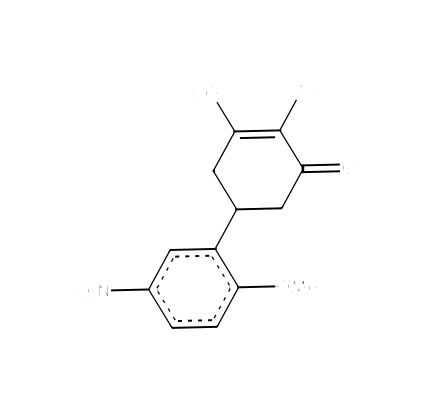 COc1ccc([N+](=O)[O-])cc1C1CC(=O)C(C(C)=O)=C(O)C1